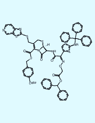 COc1ccc(COC(=O)C2=C(CSc3nc4ccncc4s3)CS[C@H]3C(NC(=O)/C(=N\OCC(=O)OC(c4ccccc4)c4ccccc4)c4csc(NC(c5ccccc5)(c5ccccc5)c5ccccc5)n4)C(=O)N23)cc1